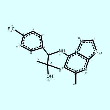 Cc1cc(NC(c2ccc(C(F)(F)F)nc2)C(C)(C)O)n2ncnc2n1